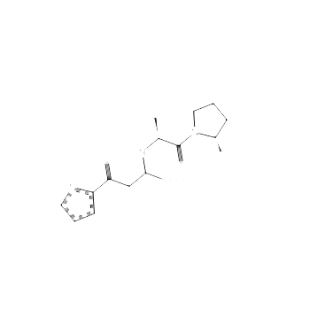 CCOC(=O)C(CC(=O)c1ccc[nH]1)N[C@@H](C)C(=O)N1CCC[C@H]1C(=O)O